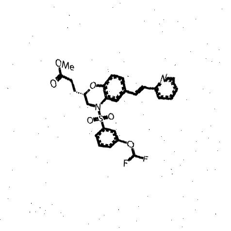 COC(=O)CC[C@H]1CN(S(=O)(=O)c2cccc(OC(F)F)c2)c2cc(/C=C/c3ccccn3)ccc2O1